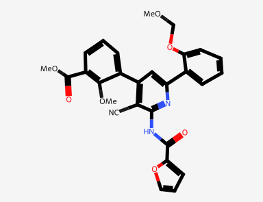 COCOc1ccccc1-c1cc(-c2cccc(C(=O)OC)c2OC)c(C#N)c(NC(=O)c2ccco2)n1